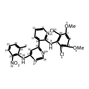 COc1cc(OC)c(Cl)c(Nc2ncccc2-c2cc(Nc3c(C)cccc3[N+](=O)[O-])ncn2)c1Cl